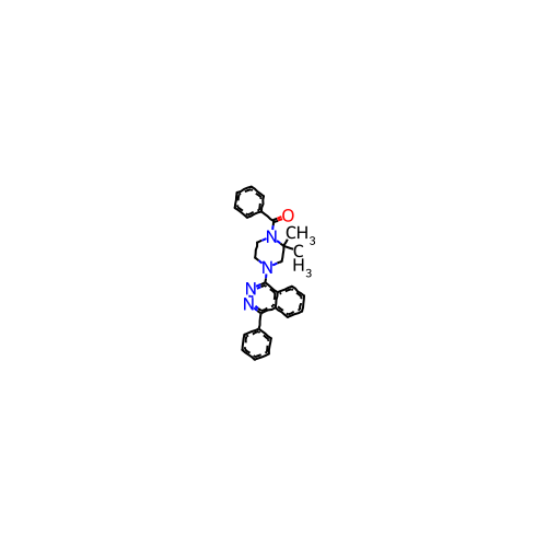 CC1(C)CN(c2nnc(-c3ccccc3)c3ccccc23)CCN1C(=O)c1ccccc1